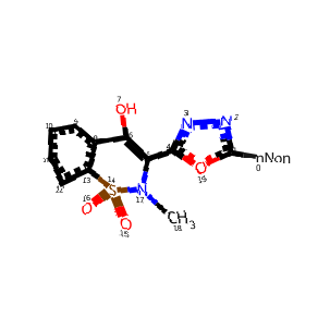 CCCCCCCCCc1nnc(C2=C(O)c3ccccc3S(=O)(=O)N2C)o1